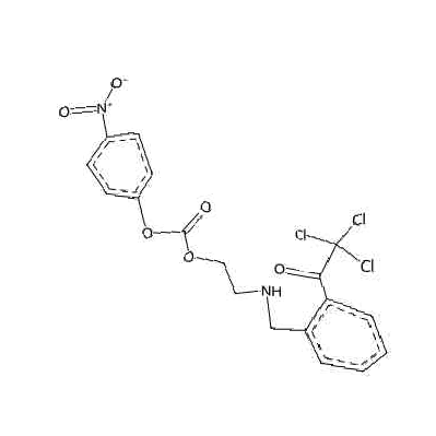 O=C(OCCNCc1ccccc1C(=O)C(Cl)(Cl)Cl)Oc1ccc([N+](=O)[O-])cc1